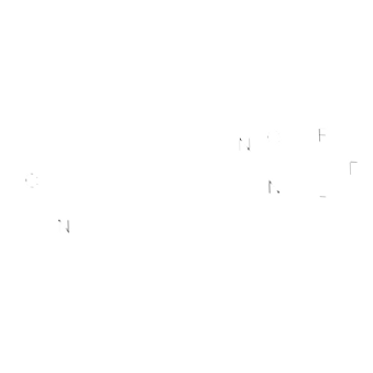 COc1ccc(C(C)c2ccc(-c3noc(C(F)(F)F)n3)cc2)cn1